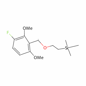 COc1ccc(F)c(OC)c1[CH]OCC[Si](C)(C)C